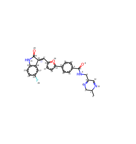 CC1CN=C(CNC(=O)c2ccc(-c3ccc(/C=C4/C(=O)Nc5ccc(F)cc54)o3)cc2)C=N1